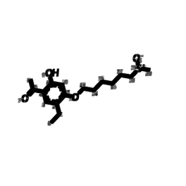 CCc1cc(C(C)=O)c(O)cc1OCCCCCC[S+](C)[O-]